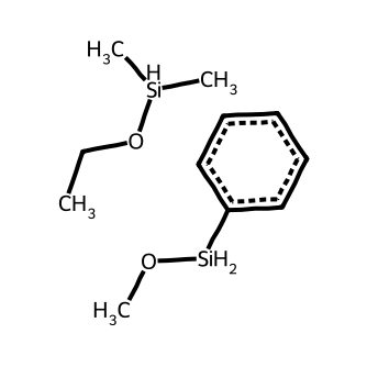 CCO[SiH](C)C.CO[SiH2]c1ccccc1